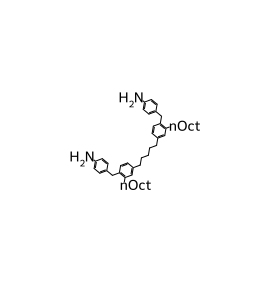 CCCCCCCCc1cc(CCCCCc2ccc(Cc3ccc(N)cc3)c(CCCCCCCC)c2)ccc1Cc1ccc(N)cc1